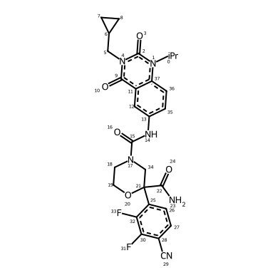 CC(C)n1c(=O)n(CC2CC2)c(=O)c2cc(NC(=O)N3CCOC(C(N)=O)(c4ccc(C#N)c(F)c4F)C3)ccc21